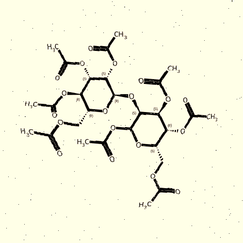 CC(=O)OC[C@@H]1OC(OC(C)=O)[C@@H](O[C@H]2O[C@H](COC(C)=O)[C@@H](OC(C)=O)[C@H](OC(C)=O)[C@@H]2OC(C)=O)[C@@H](OC(C)=O)[C@@H]1OC(C)=O